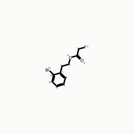 O=C(CF)OCCc1ccccc1Br